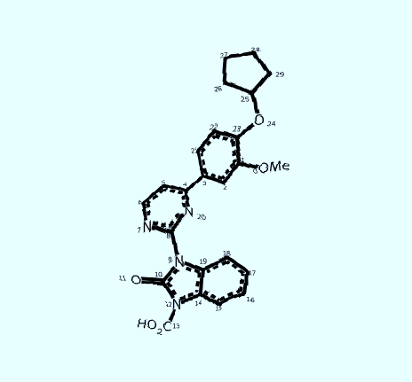 COc1cc(-c2ccnc(-n3c(=O)n(C(=O)O)c4ccccc43)n2)ccc1OC1CCCC1